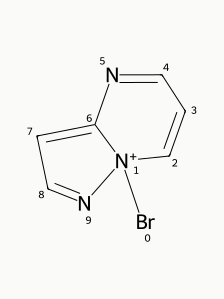 Br[N+]12C=CC=NC1=CC=N2